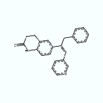 O=C1CCc2cc(/C(=C\c3cccnc3)Cc3ccccc3)ccc2N1